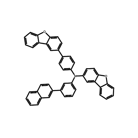 c1cc(-c2ccc3ccccc3c2)cc(N(c2ccc(-c3ccc4oc5ccccc5c4c3)cc2)c2ccc3oc4ccccc4c3c2)c1